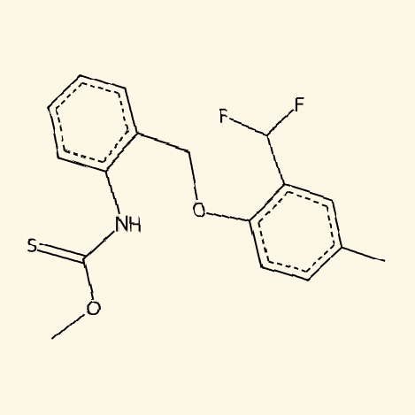 COC(=S)Nc1ccccc1COc1ccc(C)cc1C(F)F